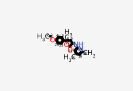 CCOc1ccc(C2(C)CC(Nc3cc(C)cc(C)n3)C(=O)O2)cc1